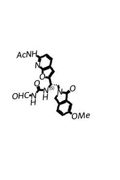 COc1ccc2c(c1)C(=O)N(C[C@H](NC(=O)NC=O)c1cc3ccc(NC(C)=O)nc3o1)C2